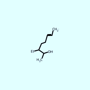 [CH2]/C=C/CCC(CC)C(C)O